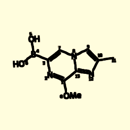 COc1nc(B(O)O)cn2cc(C)nc12